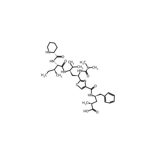 CC[C@H](C)[C@H](NC(=O)[C@H]1CCCCN1)C(=O)N[C@H](C[C@@H](NC(=O)N(C)C)c1nc(C(=O)N[C@@H](Cc2ccccc2)C[C@H](C)C(=O)O)cs1)C(C)C